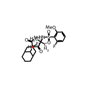 CCC1(C(N)=O)CC2CCCC(C1)C2NC(=O)C(C)(C)NS(=O)(=O)c1c(F)cccc1OC